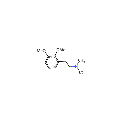 [CH2]CN(C)CCc1cccc(OC)c1OC